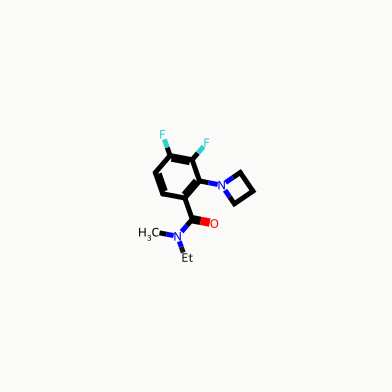 CCN(C)C(=O)c1ccc(F)c(F)c1N1CCC1